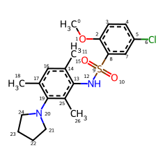 COc1ccc(Cl)cc1S(=O)(=O)Nc1c(C)cc(C)c(N2CCCC2)c1C